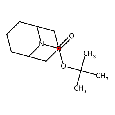 CC(C)(C)OC(=O)N1C2CCCC1COC2